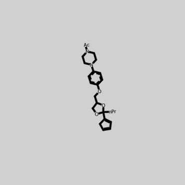 CCCC1(C2=CC=CC2)OCC(COc2ccc(N3CCN(C(C)=O)CC3)cc2)O1